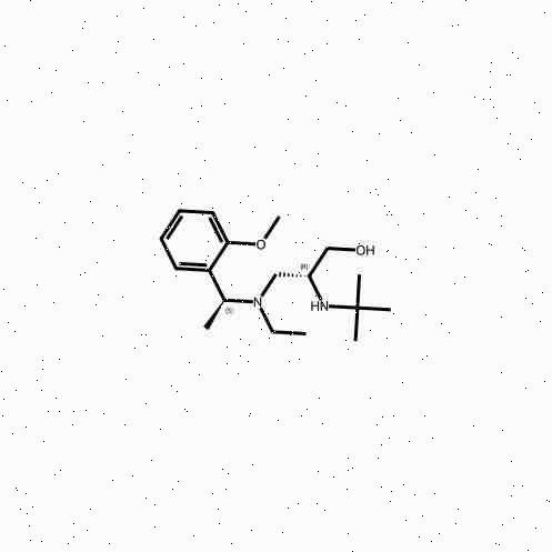 CCN(C[C@H](CO)NC(C)(C)C)[C@@H](C)c1ccccc1OC